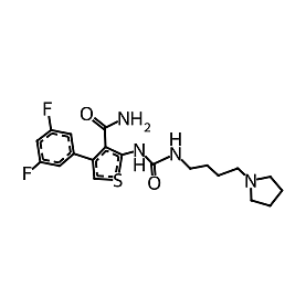 NC(=O)c1c(-c2cc(F)cc(F)c2)csc1NC(=O)NCCCCN1CCCC1